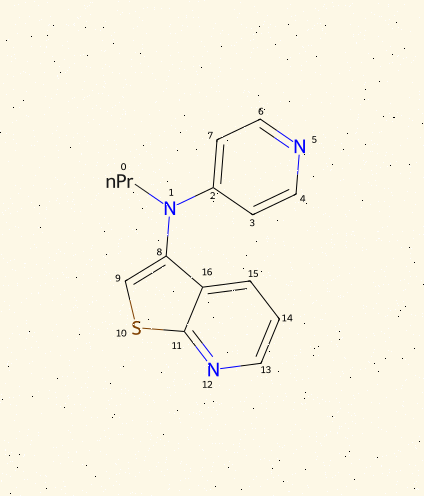 CCCN(c1ccncc1)c1csc2ncccc12